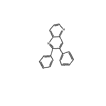 c1ccc(-c2cc3ncccc3nc2-c2ccccc2)cc1